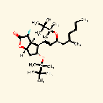 CCCCC(C)C[C@@H](C=C[C@@H]1[C@H]2C(F)C(=O)O[C@H]2C[C@H]1O[Si](C)(C)C(C)(C)C)O[Si](C)(C)C(C)(C)C